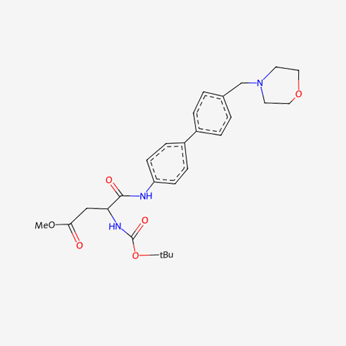 COC(=O)CC(NC(=O)OC(C)(C)C)C(=O)Nc1ccc(-c2ccc(CN3CCOCC3)cc2)cc1